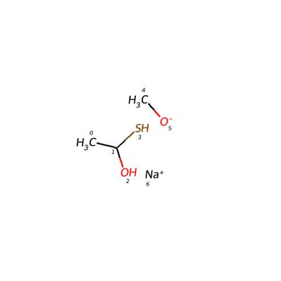 CC(O)S.C[O-].[Na+]